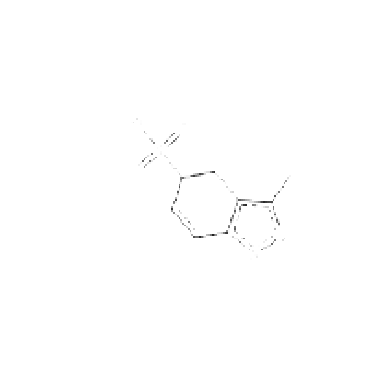 Cc1snc2c1CC(S(=O)(=O)O)C=C2